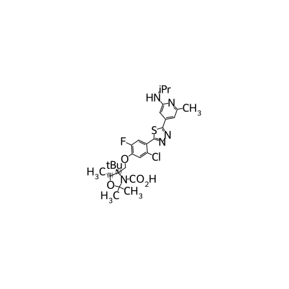 Cc1cc(-c2nnc(-c3cc(F)c(OC[C@@]4(C(C)(C)C)[C@@H](C)OC(C)(C)N4C(=O)O)cc3Cl)s2)cc(NC(C)C)n1